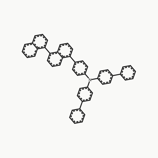 c1ccc(-c2ccc(N(c3ccc(-c4ccccc4)cc3)c3ccc(-c4cccc5c(-c6cccc7ccccc67)cccc45)cc3)cc2)cc1